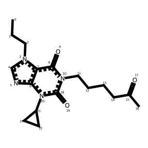 CCCn1cnc2c1c(=O)n(CCCCC(C)=O)c(=O)n2C1CC1